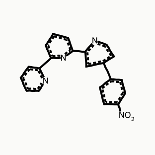 O=[N+]([O-])c1ccc(-c2ccnc(-c3cccc(-c4ccccn4)n3)c2)cc1